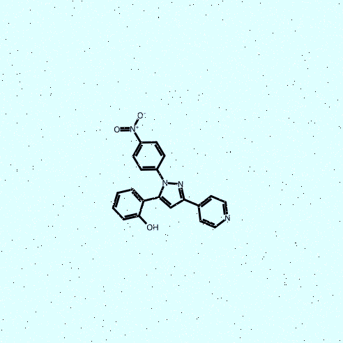 O=[N+]([O-])c1ccc(-n2nc(-c3ccncc3)cc2-c2ccccc2O)cc1